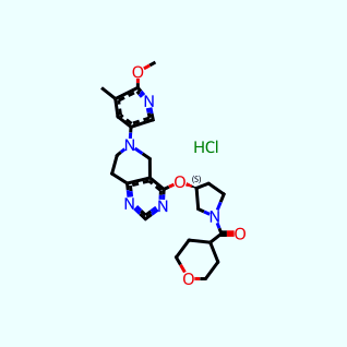 COc1ncc(N2CCc3ncnc(O[C@H]4CCN(C(=O)C5CCOCC5)C4)c3C2)cc1C.Cl